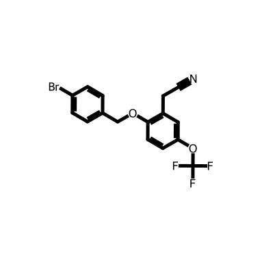 N#CCc1cc(OC(F)(F)F)ccc1OCc1ccc(Br)cc1